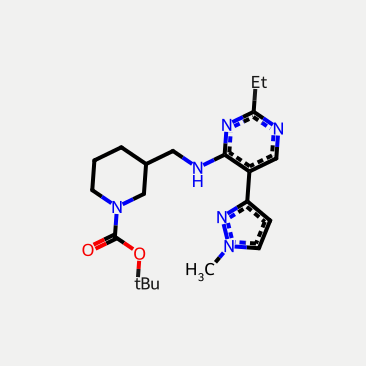 CCc1ncc(-c2ccn(C)n2)c(NCC2CCCN(C(=O)OC(C)(C)C)C2)n1